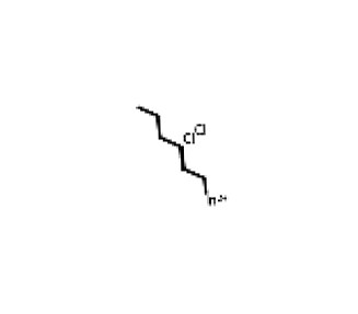 CCCCC[CH2][In+2].[Cl-].[Cl-]